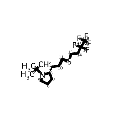 CC(C)(C)N1CCC[C@@H]1CCCSCCC(F)(F)C(F)(F)F